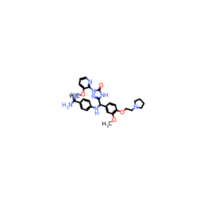 COc1cc(C(Nc2ccc(C(=N)N)cc2)c2nn(-c3ncccc3OC)c(=O)[nH]2)ccc1OCCN1CCCC1